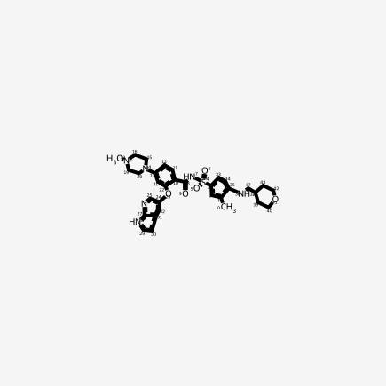 Cc1cc(S(=O)(=O)NC(=O)c2ccc(N3CCN(C)CC3)cc2Oc2cnc3[nH]ccc3c2)ccc1NCC1CCOCC1